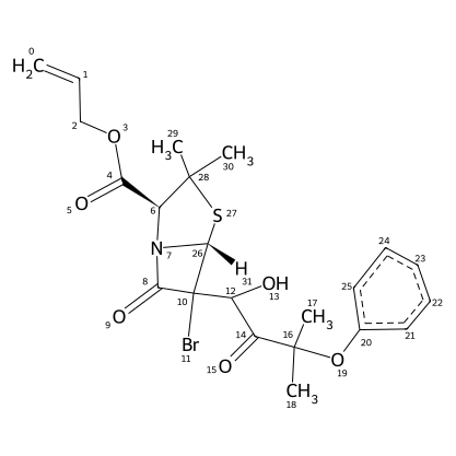 C=CCOC(=O)[C@@H]1N2C(=O)C(Br)(C(O)C(=O)C(C)(C)Oc3ccccc3)[C@H]2SC1(C)C